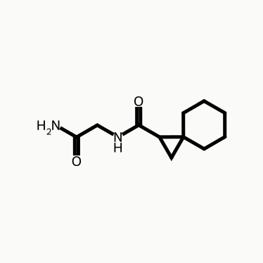 NC(=O)CNC(=O)C1CC12CCCCC2